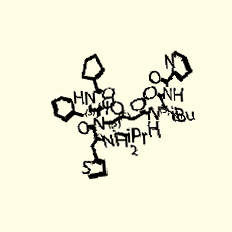 CC[C@H](C)[C@H](NC(=O)C[C@H](O)[C@H](CC(C)C)N(C(=O)[C@H](Cc1ccccc1)NC(=O)C1CCCC1)C(=O)[C@@H](N)Cc1cccs1)C(=O)NC(=O)c1ccccn1